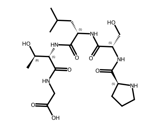 CC(C)C[C@H](NC(=O)[C@H](CO)NC(=O)[C@@H]1CCCN1)C(=O)N[C@H](C(=O)NCC(=O)O)[C@@H](C)O